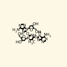 Cc1cn([C@H]2C[C@H](O)[C@@H](CO)O2)c(=O)[nH]c1=O.Nc1ncnc2c1ncn2[C@H]1C[C@H](O)[C@@H](CO)O1.Nc1ncnc2nc[nH]c12